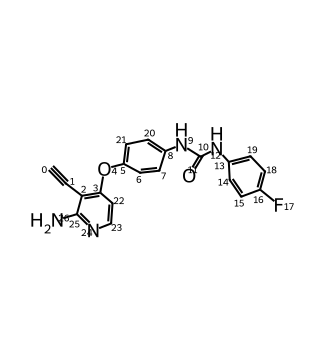 C#Cc1c(Oc2ccc(NC(=O)Nc3ccc(F)cc3)cc2)ccnc1N